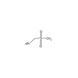 [CH2]CCCS([CH2])(=O)=O